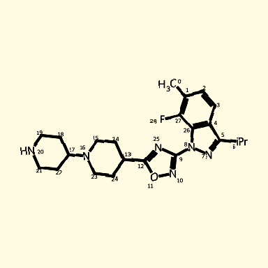 Cc1ccc2c(C(C)C)nn(-c3noc(C4CCN(C5CCNCC5)CC4)n3)c2c1F